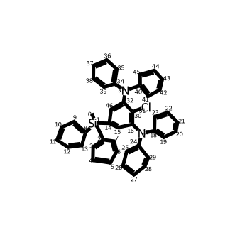 C[Si](c1ccccc1)(c1ccccc1)c1cc(N(c2ccccc2)c2ccccc2)c(Cl)c(N(c2ccccc2)c2ccccc2)c1